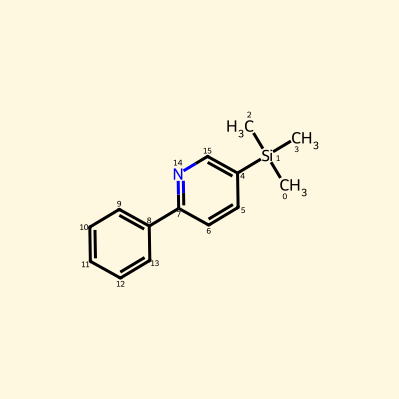 C[Si](C)(C)c1ccc(-c2ccccc2)nc1